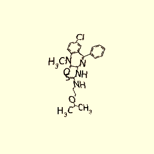 CC(C)OCCNC(=S)NC1N=C(c2ccccc2)c2cc(Cl)ccc2N(C)C1=O